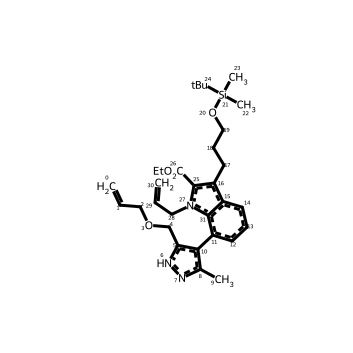 C=CCOCc1[nH]nc(C)c1-c1cccc2c(CCCO[Si](C)(C)C(C)(C)C)c(C(=O)OCC)n(CC=C)c12